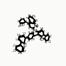 c1ccc(-c2cc(-n3c4cc(-c5cccc6c5oc5ccccc56)ccc4c4c5oc6ccccc6c5ccc43)nc3ccccc23)cc1